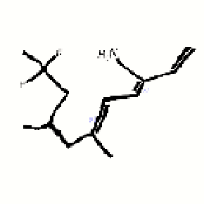 C=C/C(N)=C/C=C(\C)CC(C)CC(C)(F)F